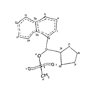 CS(=O)(=O)OC(c1cccc2ccccc12)C1CCCC1